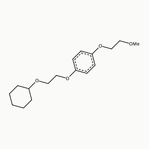 COCCOc1ccc(OCCOC2CCCCC2)cc1